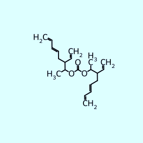 C=CC=CCC(C=C)C(C)OC(=O)OC(C)C(C=C)CC=CC=C